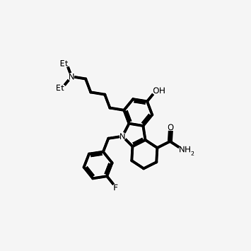 CCN(CC)CCCCc1cc(O)cc2c3c(n(Cc4cccc(F)c4)c12)CCCC3C(N)=O